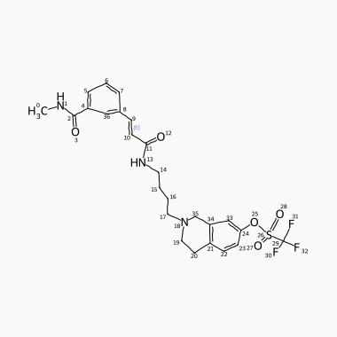 CNC(=O)c1cccc(/C=C/C(=O)NCCCCN2CCc3ccc(OS(=O)(=O)C(F)(F)F)cc3C2)c1